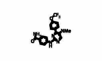 CNc1cnc(Nc2ccc(C(N)=O)cc2)nc1-c1ccc(OC(F)(F)F)cc1